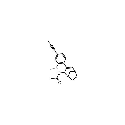 CC#Cc1ccc(C2=CC3CCC(C3)C2OC(C)=O)c(OC)c1